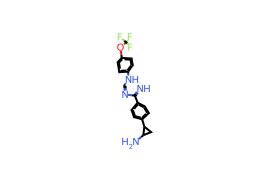 N=C(/N=C\Nc1ccc(OC(F)(F)F)cc1)c1ccc(C2CC2N)cc1